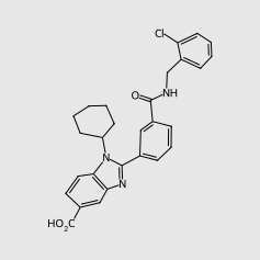 O=C(O)c1ccc2c(c1)nc(-c1cccc(C(=O)NCc3ccccc3Cl)c1)n2C1CCCCC1